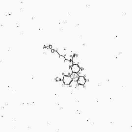 CC(=O)OOCCCCN(c1cnc(-c2ccccc2)c(-c2ccccc2)n1)C(C)C.[Ca]